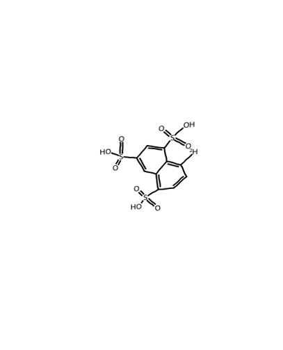 [2H]c1ccc(S(=O)(=O)O)c2cc(S(=O)(=O)O)cc(S(=O)(=O)O)c12